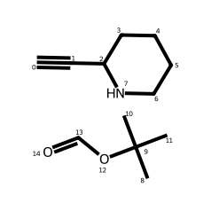 C#CC1CCCCN1.CC(C)(C)OC=O